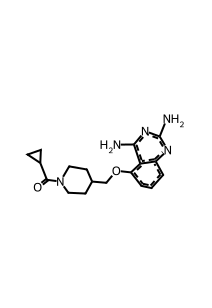 Nc1nc(N)c2c(OCC3CCN(C(=O)C4CC4)CC3)cccc2n1